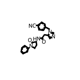 N#Cc1ccc(Cn2cncc2CC(=O)N[C@@H]2CCN(c3ccccc3)C2=O)cc1